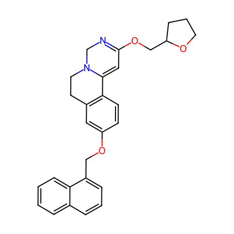 C1=C2c3ccc(OCc4cccc5ccccc45)cc3CCN2CN=C1OCC1CCCO1